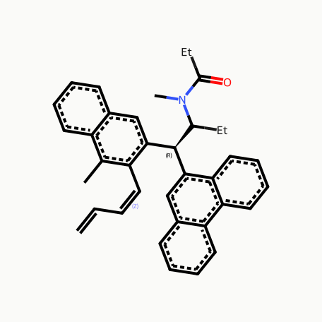 C=C/C=C\c1c([C@H](c2cc3ccccc3c3ccccc23)C(CC)N(C)C(=O)CC)cc2ccccc2c1C